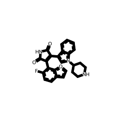 O=C1NC(=O)C(c2c(F)ccc3ccoc23)=C1c1cn(C2CCNCC2)c2ccccc12